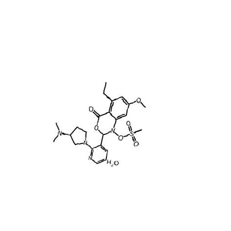 CCc1cc(OC)cc2c1C(=O)OC(c1cccnc1N1CC[C@H](N(C)C)C1)N2OS(C)(=O)=O.O